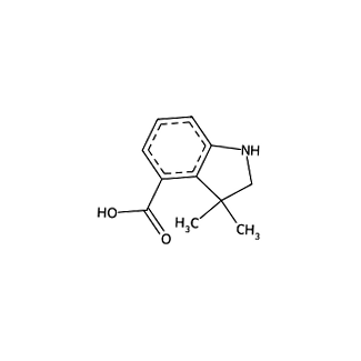 CC1(C)CNc2cccc(C(=O)O)c21